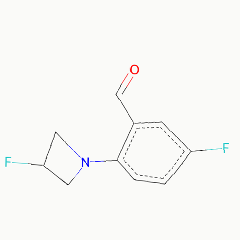 O=Cc1cc(F)ccc1N1CC(F)C1